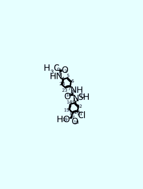 CC(=O)Nc1ccc(NC(=O)N(S)c2ccc(C(=O)O)c(Cl)c2)cc1